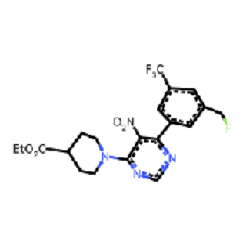 CCOC(=O)C1CCN(c2ncnc(-c3cc(CF)cc(C(F)(F)F)c3)c2[N+](=O)[O-])CC1